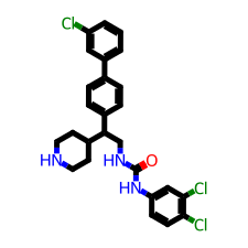 O=C(NCC(c1ccc(-c2cccc(Cl)c2)cc1)C1CCNCC1)Nc1ccc(Cl)c(Cl)c1